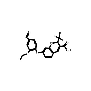 CCOc1cc(C=O)ccc1Oc1ccc2c(c1)OC(C(F)(F)F)C(C(=O)O)=C2